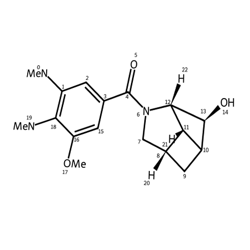 CNc1cc(C(=O)N2C[C@H]3CC4[C@H]3[C@H]2[C@H]4O)cc(OC)c1NC